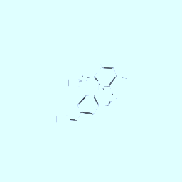 C=Cc1cccc(/C=N\c2nc(N=C)c(F)cc2F)c1